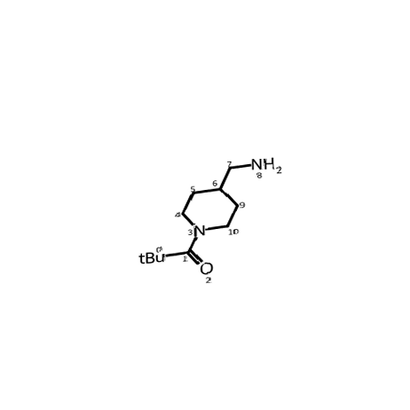 CC(C)(C)C(=O)N1CCC(CN)CC1